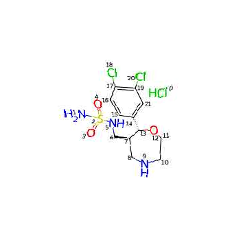 Cl.NS(=O)(=O)NC[C@@H]1CNCCO[C@H]1c1ccc(Cl)c(Cl)c1